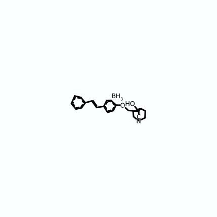 B.OC1(COc2ccc(/C=C/c3ccccc3)cc2)CN2CCC1CC2